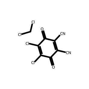 ClCCl.N#CC1=C(C#N)C(=O)C(Cl)=C(Cl)C1=O